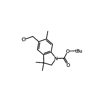 Cc1cc2c(cc1CCl)C(C)(C)CN2C(=O)OC(C)(C)C